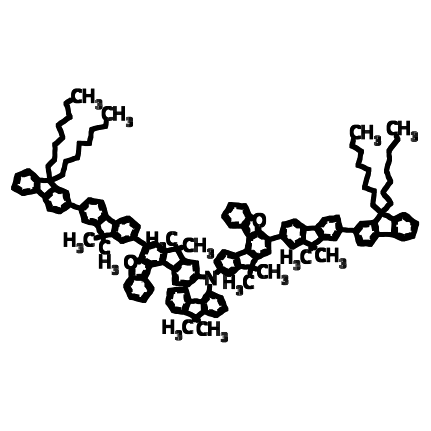 CCCCCCCCC1(CCCCCCCC)c2ccccc2-c2ccc(-c3ccc4c(c3)C(C)(C)c3cc(-c5cc6c(c7c5oc5ccccc57)-c5ccc(N(c7ccc8c(c7)C(C)(C)c7cc(-c9ccc%10c(c9)C(C)(C)c9cc(-c%11ccc%12c(c%11)C(CCCCCCCC)(CCCCCCCC)c%11ccccc%11-%12)ccc9-%10)c9oc%10ccccc%10c9c7-8)c7cccc8c7-c7ccccc7C8(C)C)cc5C6(C)C)ccc3-4)cc21